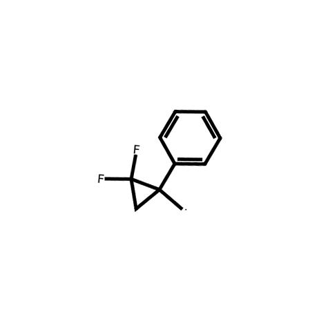 [CH2]C1(c2ccccc2)CC1(F)F